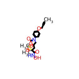 CC#CCOc1ccc(N2CC(CC(C)(C(=O)NO)S(C)(=O)=O)OC2=O)cc1